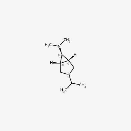 CC(C)N1C[C@@H]2[C@H](C1)[C@H]2N(C)C